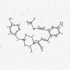 CC1CN(Cc2ccc(F)cc2)CCN1C(=O)/C=C/c1ccc(Cl)cc1C#CCN(C)C